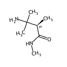 CNC(=O)[C@H](C)C(C)(C)N